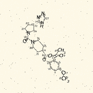 CS(=O)(=O)c1cc(OC(F)(F)F)ccc1OCC1CCN(C(=O)N2CC[C@H](c3nnc[nH]3)C2)CC1